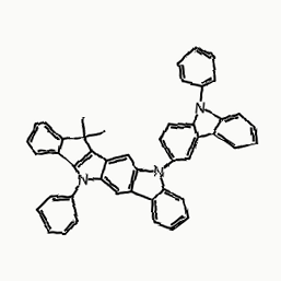 CC1(C)c2ccccc2-c2c1c1cc3c(cc1n2-c1ccccc1)c1ccccc1n3-c1ccc2c(c1)c1ccccc1n2-c1ccccc1